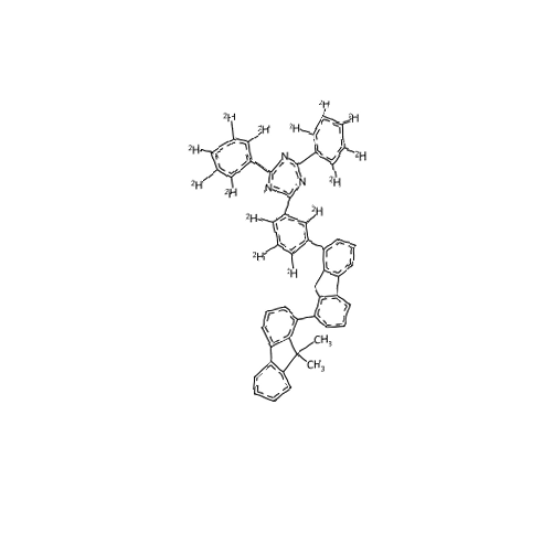 [2H]c1c([2H])c([2H])c(-c2nc(-c3c([2H])c([2H])c([2H])c([2H])c3[2H])nc(-c3c([2H])c([2H])c([2H])c(-c4cccc5c4Cc4c-5cccc4-c4cccc5c4C(C)(C)c4ccccc4-5)c3[2H])n2)c([2H])c1[2H]